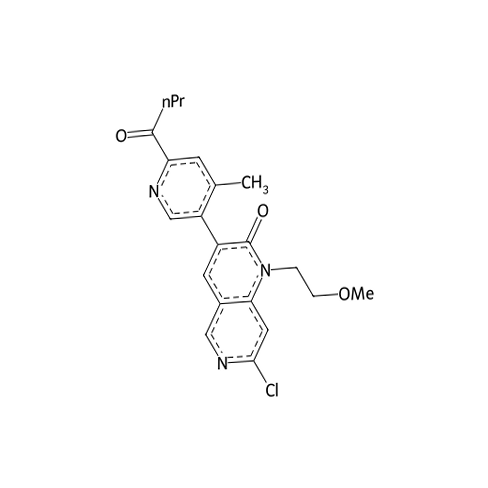 CCCC(=O)c1cc(C)c(-c2cc3cnc(Cl)cc3n(CCOC)c2=O)cn1